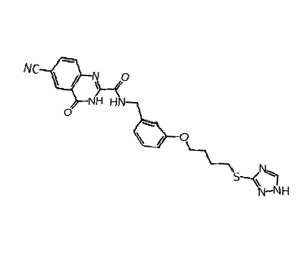 N#Cc1ccc2nc(C(=O)NCc3cccc(OCCCCSc4nc[nH]n4)c3)[nH]c(=O)c2c1